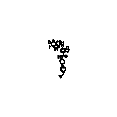 CC(C)N1c2nc(Nc3ccc(C(=O)N[C@H]4CC[C@@H](N5CCN(CC6CC6)CC5)CC4)c4c3OCC4)ncc2N(C)C(=O)[C@@H]1I